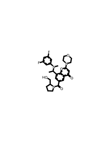 CC(c1cc(C(=O)N2CCCC2CO)cc2c(=O)cc(N3CCOCC3)oc12)N(C)c1cc(F)cc(F)c1